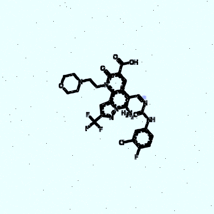 C=C(/N=C\c1c(N)n2nc(C(F)(F)F)cc2c2c1cc(C(=O)O)c(=O)n2CCN1CCOCC1)Nc1ccc(F)c(Cl)c1